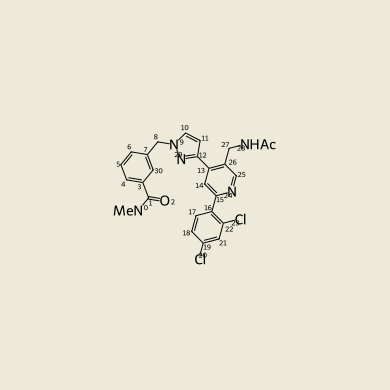 CNC(=O)c1cccc(Cn2ccc(-c3cc(-c4ccc(Cl)cc4Cl)ncc3CNC(C)=O)n2)c1